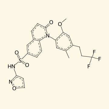 COc1cc(CCC(F)(F)F)c(C)cc1-n1c(=O)ccc2cc(S(=O)(=O)Nc3ccon3)ccc21